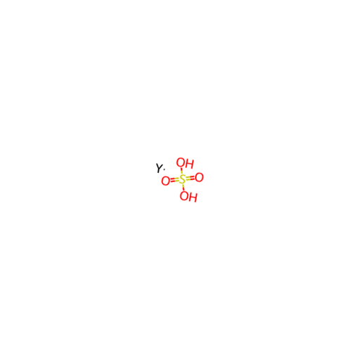 O=S(=O)(O)O.[Y]